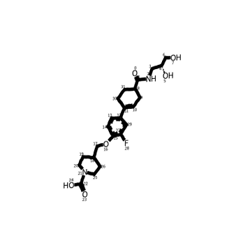 O=C(NC[C@@H](O)CO)C1CC=C(c2ccc(OCC3CCN(C(=O)O)CC3)c(F)c2)CC1